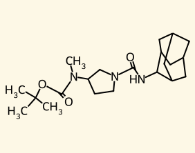 CN(C(=O)OC(C)(C)C)C1CCN(C(=O)NC2C3CC4CC(C3)CC2C4)C1